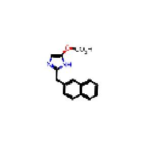 O=C(O)Oc1cnc(Cc2ccc3ccccc3c2)[nH]1